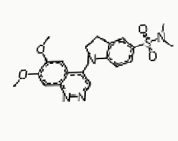 COc1cc2nncc(N3CCc4cc(S(=O)(=O)N(C)C)ccc43)c2cc1OC